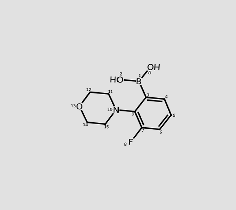 OB(O)c1cccc(F)c1N1CCOCC1